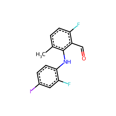 Cc1ccc(F)c(C=O)c1Nc1ccc(I)cc1F